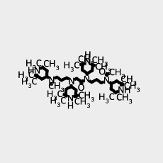 CC(=O)N(CCCN(C(=O)CN(CCCN(C)C1CC(C)(C)NC(C)(C)C1)C1CC(C)(C)NC(C)(C)C1)C1CC(C)(C)NC(C)(C)C1)C1CC(C)(C)NC(C)(C)C1